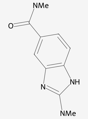 CNC(=O)c1ccc2[nH]c(NC)nc2c1